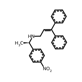 C[C@@H](NCC=C(c1ccccc1)c1ccccc1)c1ccc([N+](=O)[O-])cc1